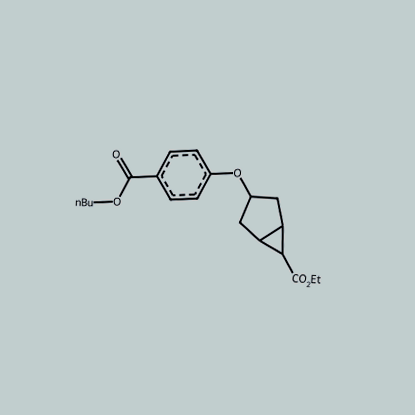 CCCCOC(=O)c1ccc(OC2CC3C(C2)C3C(=O)OCC)cc1